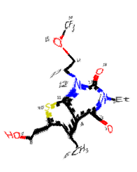 CCn1c(=O)c2c(C)c(CO)sc2n(CCOC(F)(F)F)c1=O